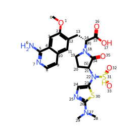 COc1cc2c(N)nccc2cc1C[C@H](C(=O)O)N1CC[C@H](N(c2cnc(N(C)C)s2)[SH](=O)=O)C1=O